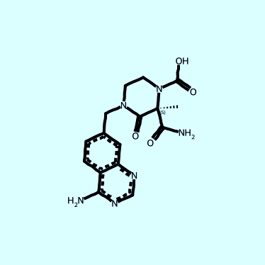 C[C@]1(C(N)=O)C(=O)N(Cc2ccc3c(N)ncnc3c2)CCN1C(=O)O